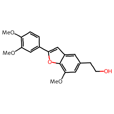 COc1ccc(-c2cc3cc(CCO)cc(OC)c3o2)cc1OC